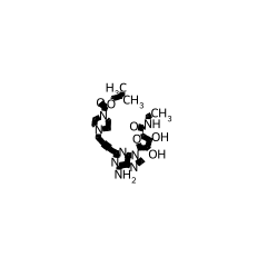 CCNC(=O)[C@H]1O[C@@H](n2cnc3c(N)nc(C#CCN4CCN(C(=O)OCC(C)C)CC4)nc32)C(O)[C@H]1O